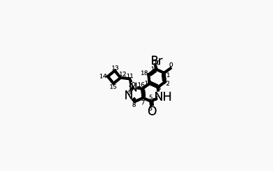 Cc1cc2[nH]c(=O)c3cnn(CC4CCC4)c3c2cc1Br